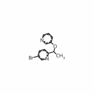 CC(Oc1cccnc1)c1ccc(Br)cn1